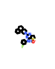 [O-][S+]1CCc2nc(N3CCC4(CCCc5ccccc54)CC3)nc(Nc3cccc(F)c3)c21